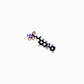 CC(=CCC1OC(=O)NC1=O)c1cccc(Cc2nc(-c3ccccc3)oc2C)c1